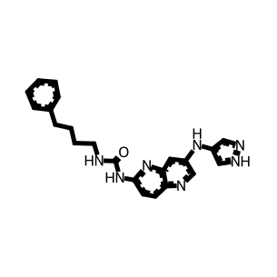 O=C(NCCCCc1ccccc1)Nc1ccc2ncc(Nc3cn[nH]c3)cc2n1